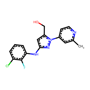 Cc1cc(-n2nc(Nc3cccc(Cl)c3F)cc2CO)ccn1